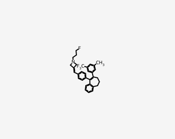 Cc1cc(C2=C(c3ccc(C=C4CN(CCCF)C4)cc3)c3ccccc3CCC2)cc(C(F)(F)F)c1